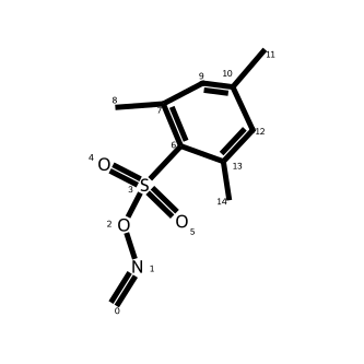 C=NOS(=O)(=O)c1c(C)cc(C)cc1C